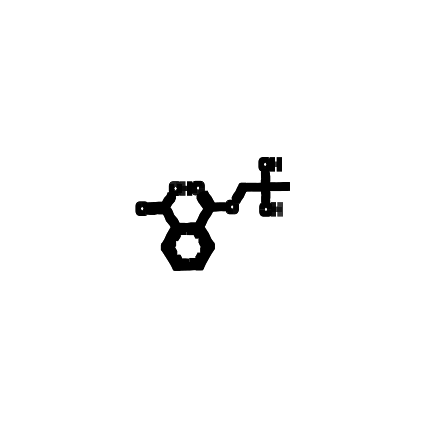 CC(O)(O)COC(=O)c1ccccc1C(=O)O